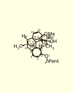 CCCCCOc1ccc2c3c1O[C@H]1[C@@]4(OC)C=C[C@@]5(C[C@@H]4[C@](C)(O)C(C)(C)C)[C@@H](C2)[C@H](C)CC[C@]315